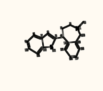 CN1CCC(c2cc3ccccc3s2)c2ccccc2C1